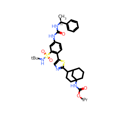 CC(C)OC(=O)NC12CCCC(C1)C(c1ncc(-c3ccc(NC(=O)N[C@@H](C)c4ccccc4)cc3S(=O)(=O)NC(C)(C)C)s1)CC2